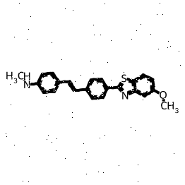 CNc1ccc(/C=C/c2ccc(-c3nc4cc(OC)ccc4s3)cc2)cc1